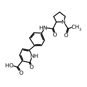 CC(=O)N1CCCC1C(=O)Nc1ccc(-c2ccc(C(=O)O)c(=O)[nH]2)cc1